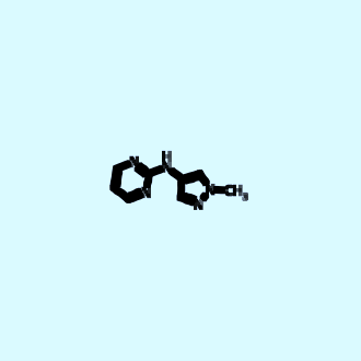 Cn1cc(Nc2ncccn2)cn1